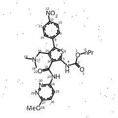 CCCOC(=O)Nc1sc(-c2ccc([N+](=O)[O-])cc2)c(CN(C)C)c1C(=O)Nc1ccc(OC)nn1